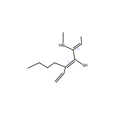 C=C/C(CCCC)=C(S)/C(=C/C)NC